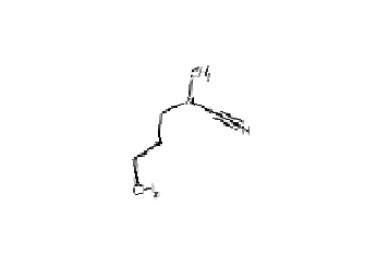 CCCCN(C)C#N